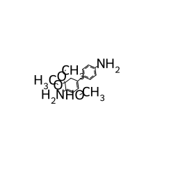 CO.COC1(OC)CC(c2ccc(N)cc2)=CC=C1N